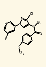 CCN(C(=O)c1ccc(SC(F)(F)F)cc1)c1cn(-c2cncc(F)c2)nc1Cl